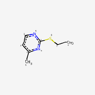 Cc1ccnc(SCC=O)n1